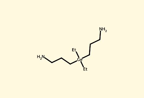 C[CH2][Ge]([CH2]C)([CH2]CCN)[CH2]CCN